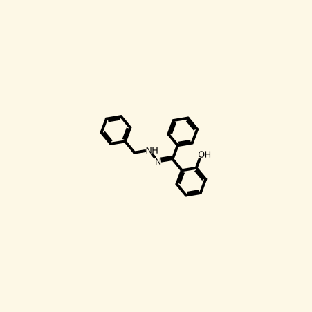 Oc1ccccc1C(=NNCc1ccccc1)c1ccccc1